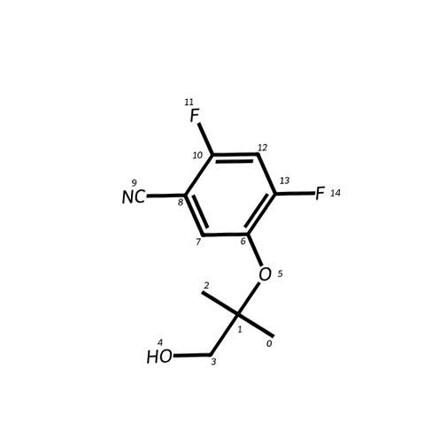 CC(C)(CO)Oc1cc(C#N)c(F)cc1F